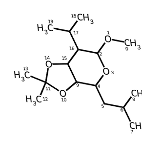 COC1OC(CC(C)C)C2OC(C)(C)OC2C1C(C)C